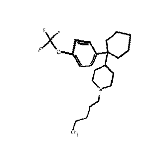 CCCCC[SiH]1CCC(C2(c3ccc(OC(F)(F)F)cc3)CCCCC2)CC1